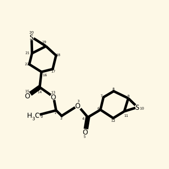 CC(COC(=O)C1CCC2SC2C1)OC(=O)C1CCC2SC2C1